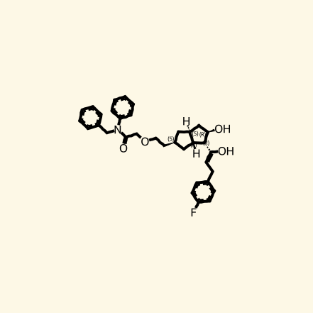 O=C(COCC[C@H]1C[C@H]2C[C@@H](O)[C@H](C(O)=CCc3ccc(F)cc3)[C@@H]2C1)N(Cc1ccccc1)c1ccccc1